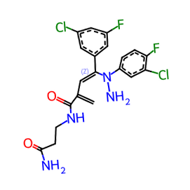 C=C(/C=C(/c1cc(F)cc(Cl)c1)N(N)c1ccc(F)c(Cl)c1)C(=O)NCCC(N)=O